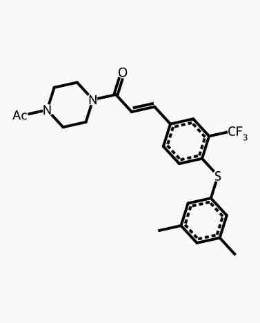 CC(=O)N1CCN(C(=O)C=Cc2ccc(Sc3cc(C)cc(C)c3)c(C(F)(F)F)c2)CC1